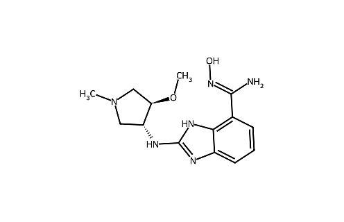 CO[C@@H]1CN(C)C[C@H]1Nc1nc2cccc(C(N)=NO)c2[nH]1